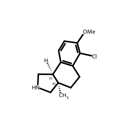 COc1ccc2c(c1Cl)CC[C@@]1(C)CNC[C@@H]21